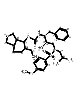 COc1ccc(S(=O)(=O)N(CC(C)C)C[C@@H](O)[C@H](Cc2ccccc2)NC(=O)OC2C(CO)CCC3COCC32)cc1